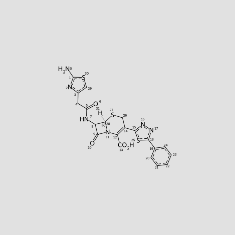 Nc1nc(CC(=O)NC2C(=O)N3C(C(=O)O)=C(c4nnc(-c5ccccc5)s4)CS[C@H]23)cs1